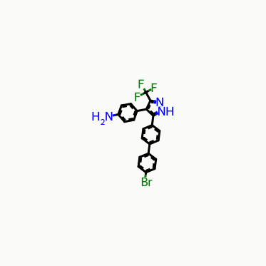 Nc1ccc(-c2c(C(F)(F)F)n[nH]c2-c2ccc(-c3ccc(Br)cc3)cc2)cc1